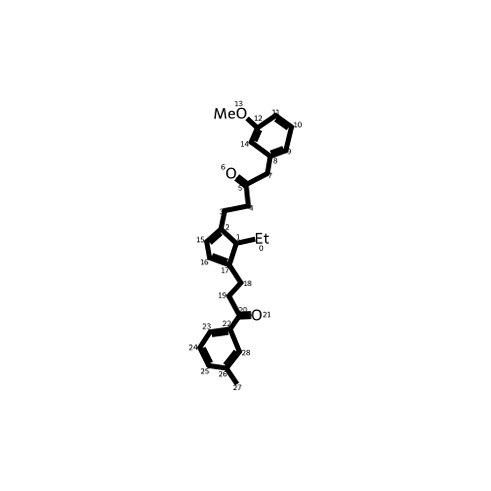 CCC1C(CCC(=O)Cc2cccc(OC)c2)=CC=C1CCC(=O)c1cccc(C)c1